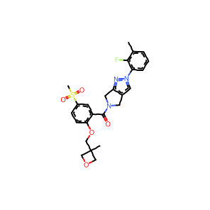 Cc1cccc(-n2cc3c(n2)CN(C(=O)c2cc(S(C)(=O)=O)ccc2OCC2(C)COC2)C3)c1F